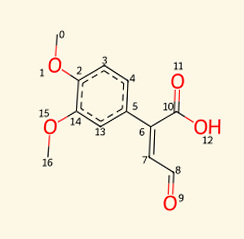 COc1ccc(C(=CC=O)C(=O)O)cc1OC